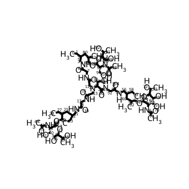 CCC(CNC(=O)CNC(=O)CN(CC(=O)NCC(=O)NCC(CC)CC(CC)COC(OC(CO)[C@@H](C)O)[C@H](CO)NC(C)=O)C(CC)C(=O)NCC(=O)NCC(CC)CC(C)COC(OC(CO)[C@@H](C)O)[C@H](CO)NC(C)=O)CC(C)COC(OC(CO)[C@@H](C)O)[C@H](CO)NC(C)=O